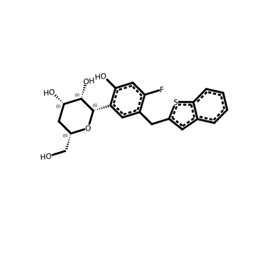 OC[C@@H]1C[C@H](O)[C@H](O)[C@H](c2cc(Cc3cc4ccccc4s3)c(F)cc2O)O1